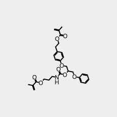 C=C(C)C(=O)OCCCNC(=O)OC(COc1ccccc1)COc1ccc(CCOC(=O)C(=C)C)cc1